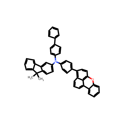 CC1(C)c2ccccc2-c2cc(N(c3ccc(-c4ccccc4)cc3)c3ccc(-c4ccc5c6c(cccc46)-c4ccccc4O5)cc3)ccc21